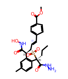 CCC[C@](C(=O)NN)(c1ccc(C)cc1[C@H](C/C=C/c1ccc(C(=O)OC)cc1)C(=O)NO)S(C)(=O)=O